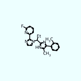 CCC(c1nc(-c2ccccc2C)c(C)[nH]1)n1ccnc1-c1cccc(F)n1